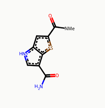 CNC(=O)c1cc2[nH]cc(C(N)=O)c2s1